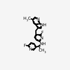 Cc1cnc2[nH]cc(Cc3ccc(N[C@@H](C)c4ccc(F)nc4)nc3F)c2c1